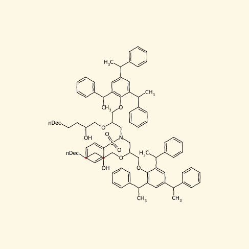 CCCCCCCCCCCCC(O)COC(COc1c(C(C)c2ccccc2)cc(C(C)c2ccccc2)cc1C(C)c1ccccc1)CN(CC(COc1c(C(C)c2ccccc2)cc(C(C)c2ccccc2)cc1C(C)c1ccccc1)OCC(O)CCCCCCCCCCCC)S(=O)(=O)c1ccccc1